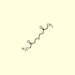 CCC(=O)CCSCCC(=O)CC